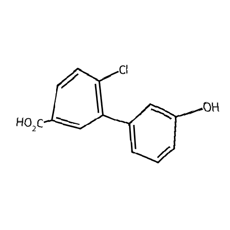 O=C(O)c1ccc(Cl)c(-c2cccc(O)c2)c1